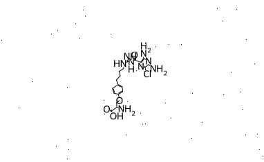 N=C(NCCCCc1ccc(OCC(N)C(=O)O)cc1)NC(=O)c1nc(Cl)c(N)nc1N